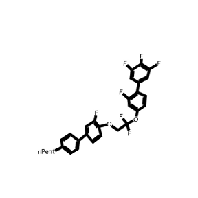 CCCCCc1ccc(-c2ccc(OCC(F)(F)Oc3ccc(-c4cc(F)c(F)c(F)c4)c(F)c3)c(F)c2)cc1